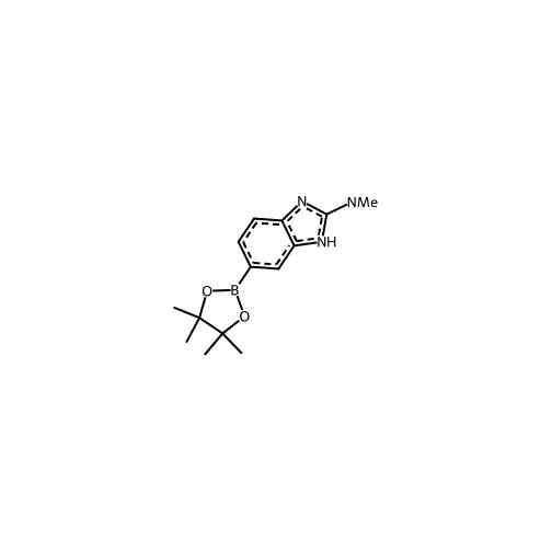 CNc1nc2ccc(B3OC(C)(C)C(C)(C)O3)cc2[nH]1